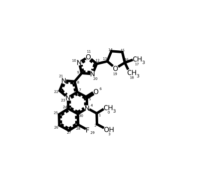 CC(CO)n1c(=O)c2c(-c3noc(C4CCC(C)(C)O4)n3)ncn2c2cccc(F)c21